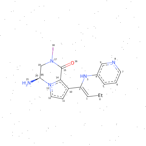 CCC=C(Nc1cccnc1)c1ccn2c1C(=O)N(I)C[C@@H]2N